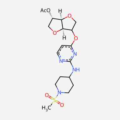 CC(=O)O[C@H]1CO[C@@H]2C(Oc3ccnc(NC4CCN(S(C)(=O)=O)CC4)n3)CO[C@H]12